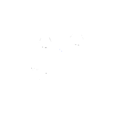 COC(C)(C)[C@H]1CC[C@H](N(Cc2ccccc2)Cc2ccccc2)CC1